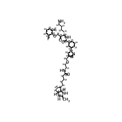 C=C1N[C@H]2[C@H](CS[C@H]2CCCCC(=O)NCCOCc2cn(-c3cccc(C(=O)N[C@@H](CCCCN)C(=O)COc4c(F)cccc4F)c3)nn2)N1